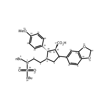 CCCCN(CCN1CC(c2ccc3c(c2)OCO3)[C@H](C(=O)O)[C@H]1c1ccc(OC)cc1)S(=O)(=O)CCCC